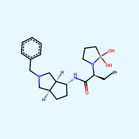 CC(C)C[C@@H](C(=O)N[C@@H]1CC[C@H]2CN(Cc3ccccc3)C[C@H]21)N1CCCS1(O)O